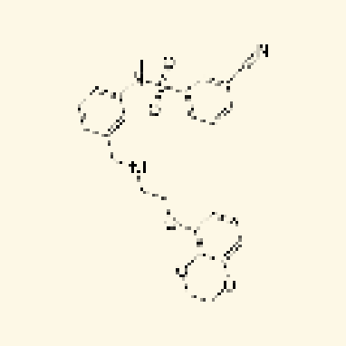 N#Cc1cccc(S(=O)(=O)Nc2cccc(CNCCOc3cccc4c3OCCO4)c2)c1